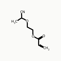 C=CC(=O)OCCOC(C)C#N